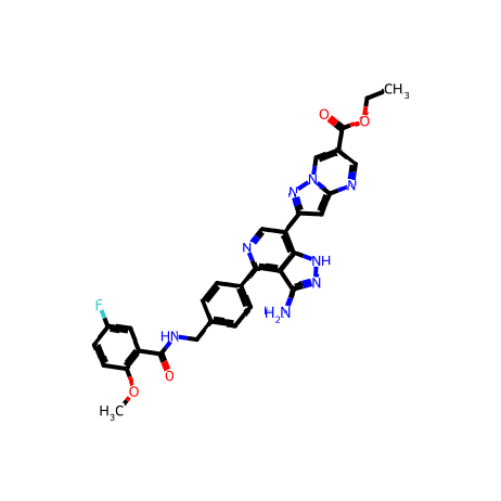 CCOC(=O)c1cnc2cc(-c3cnc(-c4ccc(CNC(=O)c5cc(F)ccc5OC)cc4)c4c(N)n[nH]c34)nn2c1